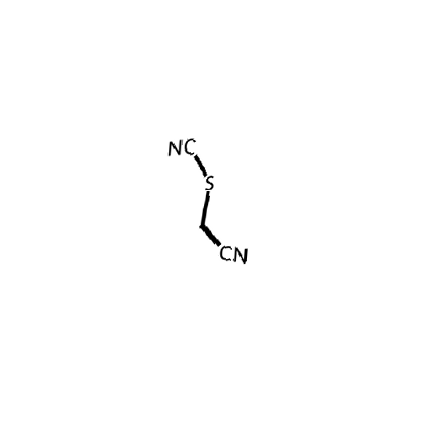 N#CCSC#N